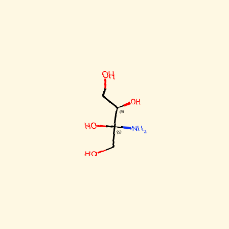 N[C@](O)(CO)[C@H](O)CO